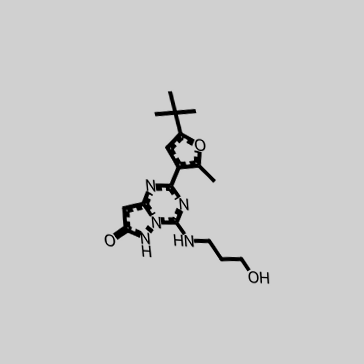 Cc1oc(C(C)(C)C)cc1-c1nc(NCCCO)n2[nH]c(=O)cc2n1